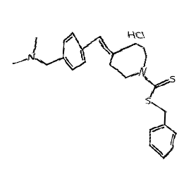 CN(C)Cc1ccc(C=C2CCN(C(=S)SCc3ccccc3)CC2)cc1.Cl